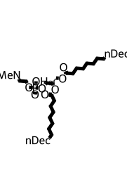 CCCCCCCCCCCCCCCCCC(=O)OC[C@@H](COP(=O)(O)OCCNC)OC(=O)CCCCCCCCCCCCCCCCC